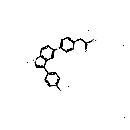 O=C(O)Cc1ccc(-c2ccc3occ(-c4ccc(Cl)cc4)c3c2)cc1